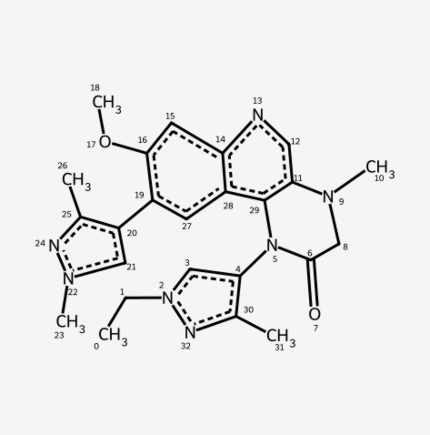 CCn1cc(N2C(=O)CN(C)c3cnc4cc(OC)c(-c5cn(C)nc5C)cc4c32)c(C)n1